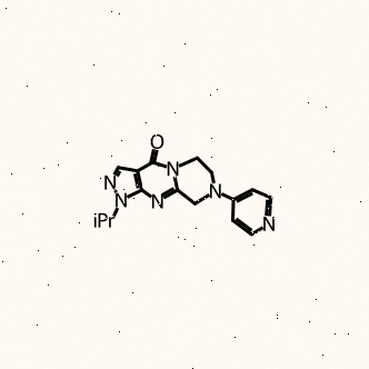 CC(C)n1ncc2c(=O)n3c(nc21)CN(c1ccncc1)CC3